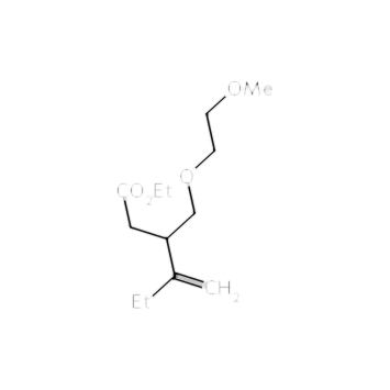 C=C(CC)C(COCCOC)CC(=O)OCC